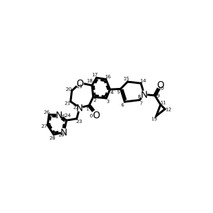 O=C1c2cc(C3=CCN(C(=O)C4CC4)CC3)ccc2OCCN1Cc1ncccn1